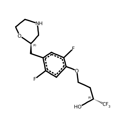 O[C@H](CCOc1cc(F)c(C[C@@H]2CNCCO2)cc1F)C(F)(F)F